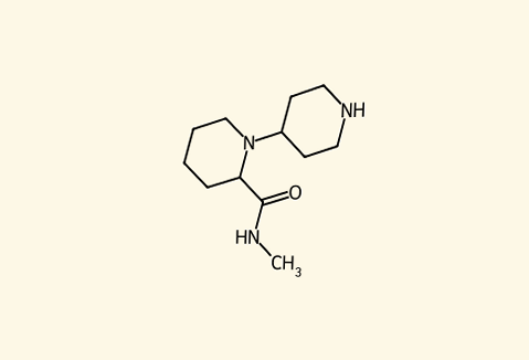 CNC(=O)C1CCCCN1C1CCNCC1